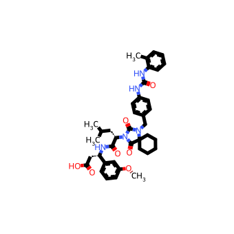 COc1cccc([C@H](CC(=O)O)NC(=O)[C@H](CC(C)C)N2C(=O)N(Cc3ccc(NC(=O)Nc4ccccc4C)cc3)C3(CCCCC3)C2=O)c1